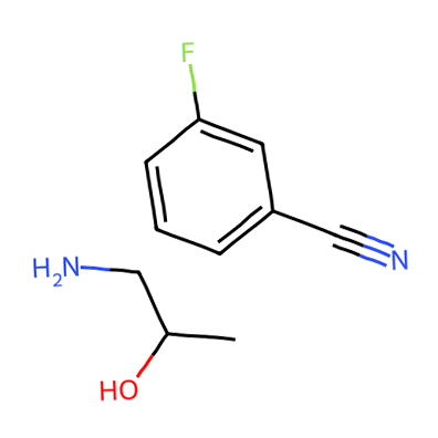 CC(O)CN.N#Cc1cccc(F)c1